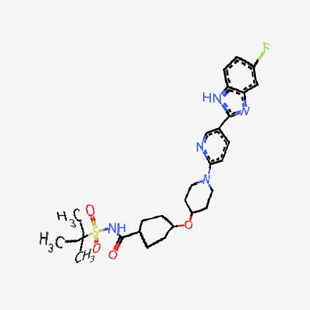 CC(C)(C)S(=O)(=O)NC(=O)C1CCC(OC2CCN(c3ccc(-c4nc5cc(F)ccc5[nH]4)cn3)CC2)CC1